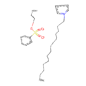 CCCCCCCCCCCCCCCCCCCCCC[n+]1ccccc1.CCCCCCCCCCCCOS(=O)(=O)c1ccccc1